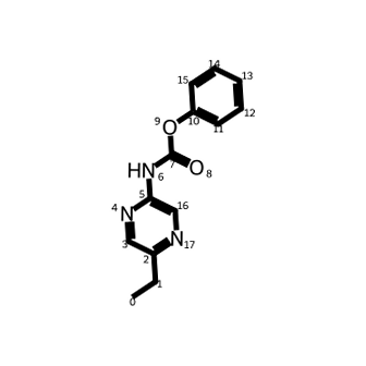 CCc1cnc(NC(=O)Oc2ccccc2)cn1